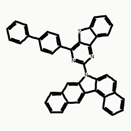 c1ccc(-c2ccc(-c3nc(-n4c5cc6ccccc6cc5c5c6ccccc6ccc54)nc4c3sc3ccccc34)cc2)cc1